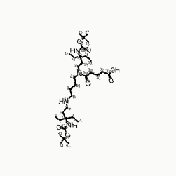 CCC(CC)(CCNCCCCN(CCC(CC)(CC)NC(=O)OC(C)(C)C)C(=O)CCCC(=O)O)NC(=O)OC(C)(C)C